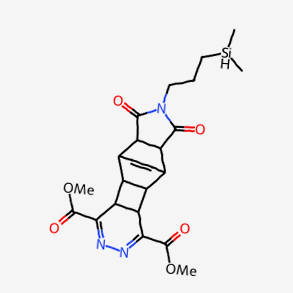 COC(=O)C1=NN=C(C(=O)OC)C2C1C1C3C=CC(C4C(=O)N(CCC[SiH](C)C)C(=O)C34)C21